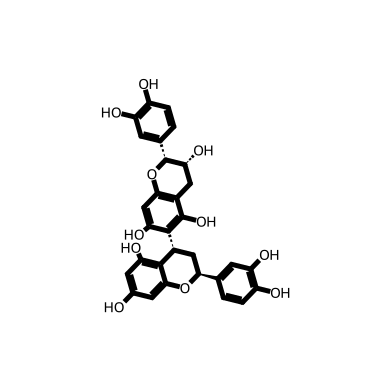 Oc1cc(O)c2c(c1)O[C@H](c1ccc(O)c(O)c1)C[C@H]2c1c(O)cc2c(c1O)C[C@@H](O)[C@@H](c1ccc(O)c(O)c1)O2